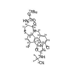 CC(C)(C#N)Nc1nnc(-c2cc3c(cc2F)SC[C@H](NC(=O)OC(C)(C)C)C(=O)N3Cc2ccc(Cl)cc2)o1